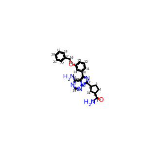 NC(=O)C1CCC(c2nc(-c3cccc(OCc4ccccc4)c3)c3c(N)ncnn23)C1